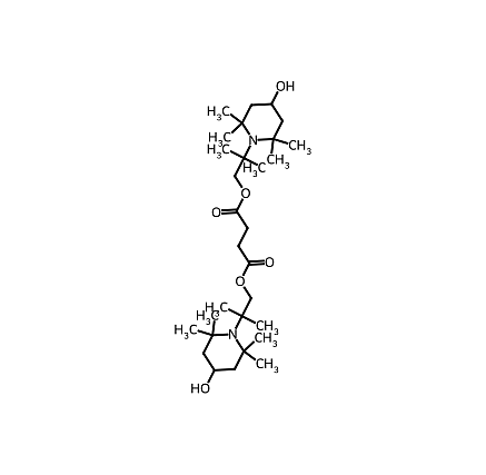 CC(C)(COC(=O)CCC(=O)OCC(C)(C)N1C(C)(C)CC(O)CC1(C)C)N1C(C)(C)CC(O)CC1(C)C